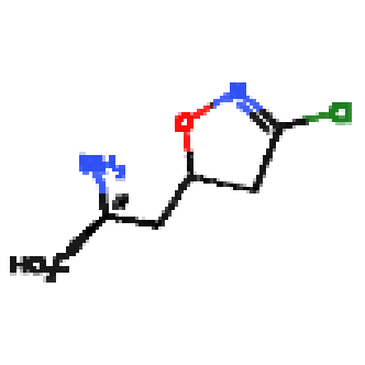 N[C@@H](CC1CC(Cl)=NO1)C(=O)O